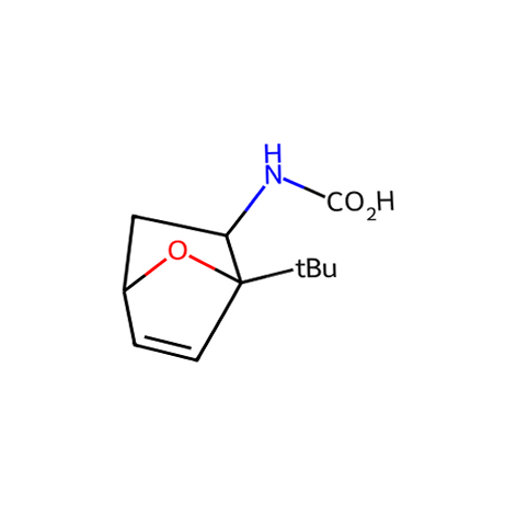 CC(C)(C)C12C=CC(CC1NC(=O)O)O2